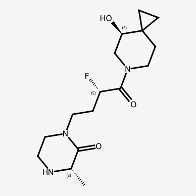 C[C@@H]1NCCN(CC[C@H](F)C(=O)N2CCC3(CC3)[C@H](O)C2)C1=O